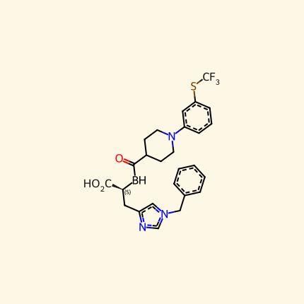 O=C(B[C@@H](Cc1cn(Cc2ccccc2)cn1)C(=O)O)C1CCN(c2cccc(SC(F)(F)F)c2)CC1